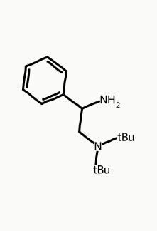 CC(C)(C)N(CC(N)c1ccccc1)C(C)(C)C